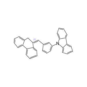 C(=C1\Cc2ccccc2-c2ccccc21)/c1cccc(-n2c3ccccc3c3ccccc32)c1